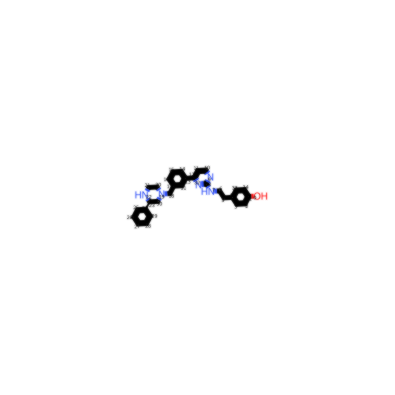 Oc1ccc(CCNc2nccc(-c3cccc(CN4CCN[C@H](c5ccccc5)C4)c3)n2)cc1